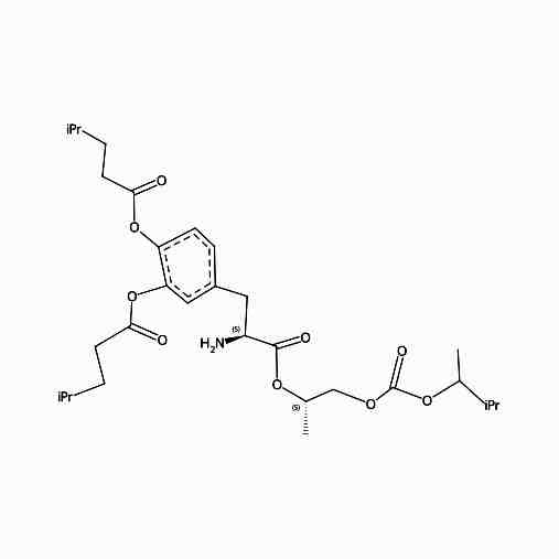 CC(C)CCC(=O)Oc1ccc(C[C@H](N)C(=O)O[C@@H](C)COC(=O)OC(C)C(C)C)cc1OC(=O)CCC(C)C